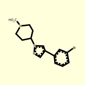 O=C(O)N1CCC(n2cc(-c3cccc(Br)c3)cn2)CC1